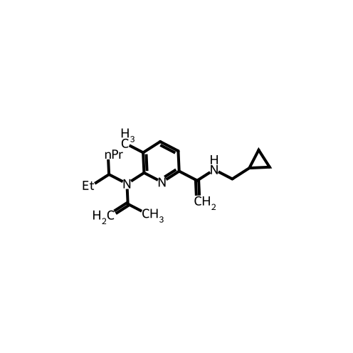 C=C(NCC1CC1)c1ccc(C)c(N(C(=C)C)C(CC)CCC)n1